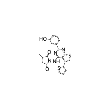 CC1=CC(=O)N(Nc2nc(-c3cccc(O)c3)nc3scc(-c4cccs4)c23)C1=O